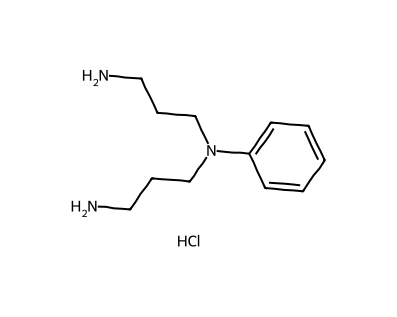 Cl.NCCCN(CCCN)c1ccccc1